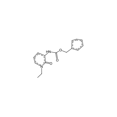 CCn1cccc(NC(=O)OCc2ccccc2)c1=O